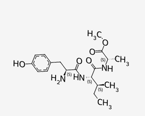 CC[C@H](C)[C@H](NC(=O)[C@@H](N)Cc1ccc(O)cc1)C(=O)N[C@@H](C)C(=O)OC